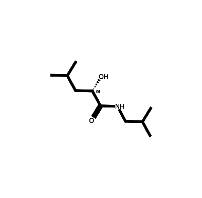 CC(C)CNC(=O)[C@@H](O)CC(C)C